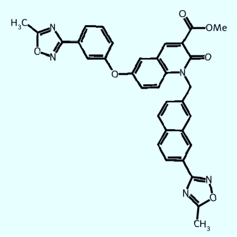 COC(=O)c1cc2cc(Oc3cccc(-c4noc(C)n4)c3)ccc2n(Cc2ccc3ccc(-c4noc(C)n4)cc3c2)c1=O